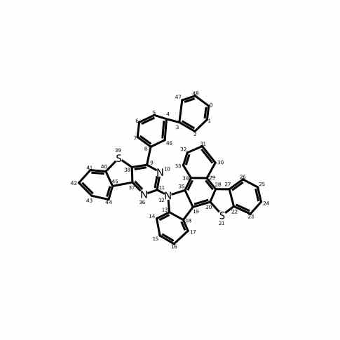 c1ccc(-c2cccc(-c3nc(-n4c5ccccc5c5c6sc7ccccc7c6c6ccccc6c54)nc4c3sc3ccccc34)c2)cc1